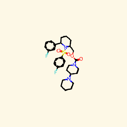 O=C(OCC1CCCC(c2cccc(F)c2)N1S(=O)(=O)c1ccc(F)cc1)N1CCC(N2CCCCC2)CC1